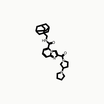 O=C(NCC12CC3CC(CC(C3)C1)C2)c1cccc2nc(C(=O)N3CCC(N4CCCC4)C3)cn12